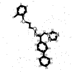 Cc1[c]cccc1OCCON=C(Cn1cncn1)c1ccc(-c2ccccc2)cc1